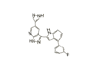 Fc1cccc(-c2cccc3[nH]c(-c4n[nH]c5ncc(-c6cn[nH]c6)cc45)cc23)c1